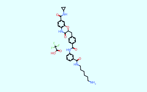 NCCCCCCNC(=O)c1cccc(NC(=O)c2ccc(CC3Oc4cc(C(=O)NC5CC5)ccc4NC3=O)cc2)c1.O=C(O)C(F)(F)F